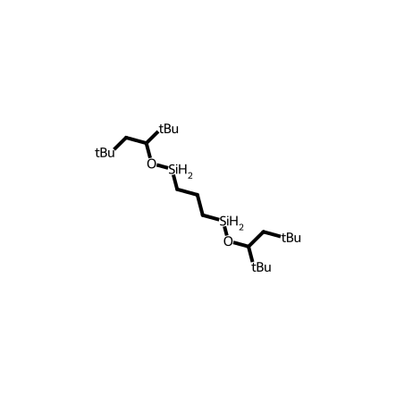 CC(C)(C)CC(O[SiH2]CCC[SiH2]OC(CC(C)(C)C)C(C)(C)C)C(C)(C)C